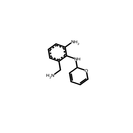 NCc1cccc(N)c1NC1C=CC=CO1